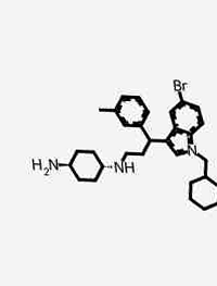 Cc1cccc(C(CCN[C@H]2CC[C@H](N)CC2)c2cn(CC3CCCCC3)c3ccc(Br)cc23)c1